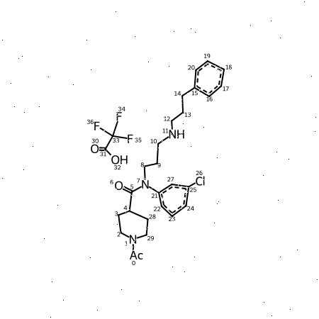 CC(=O)N1CCC(C(=O)N(CCCNCCCc2ccccc2)c2cccc(Cl)c2)CC1.O=C(O)C(F)(F)F